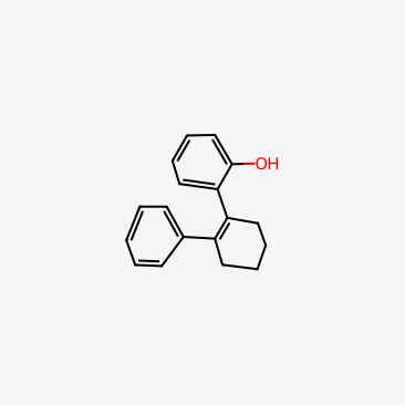 Oc1ccccc1C1=C(c2ccccc2)CCCC1